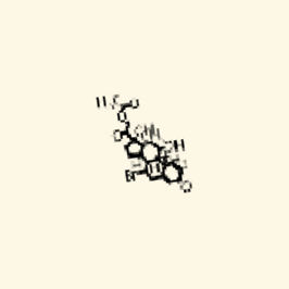 CC(=O)OCC(=O)[C@@]1(O)CC[C@H]2[C@@H]3C(Br)CC4=CC(=O)C=C[C@]4(C)[C@H]3C(O)C[C@@]21C